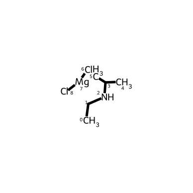 CCNC(C)C.[Cl][Mg][Cl]